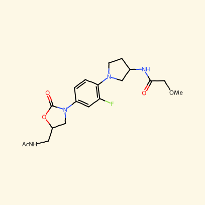 COCC(=O)NC1CCN(c2ccc(N3CC(CNC(C)=O)OC3=O)cc2F)C1